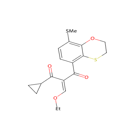 CCOC=C(C(=O)c1ccc(SC)c2c1SCCO2)C(=O)C1CC1